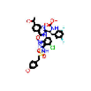 COc1ccc(CCS(=O)(=O)Nc2nn(C)c3c(-n4c([C@H](Cc5cc(F)cc(F)c5)NC(=O)O)nc5cc(C(C)=O)ccc5c4=O)ccc(Cl)c23)cc1